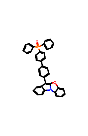 O=P(c1ccccc1)(c1ccccc1)c1ccc(-c2ccc(-c3c4ccccc4n4c3oc3ccccc34)cc2)cc1